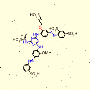 COc1cc(N=Nc2cccc(S(=O)(=O)O)c2)ccc1Nc1nc(Nc2ccc(N=Nc3ccc(S(=O)(=O)O)cc3S(=O)(=O)O)cc2OCCCS(=O)(=O)O)nc(NC(C)S(=O)(=O)O)n1